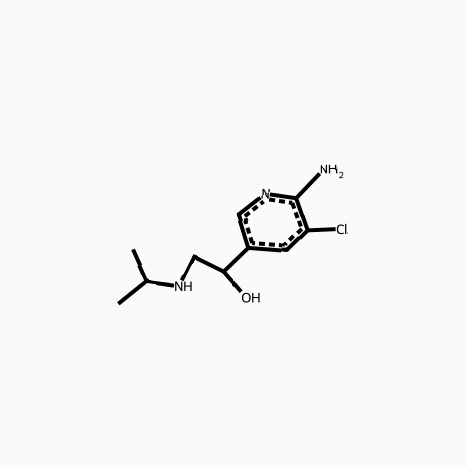 CC(C)NCC(O)c1cnc(N)c(Cl)c1